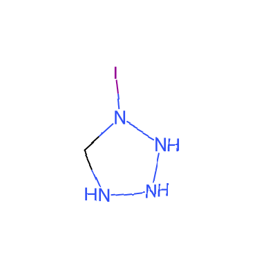 IN1CNNN1